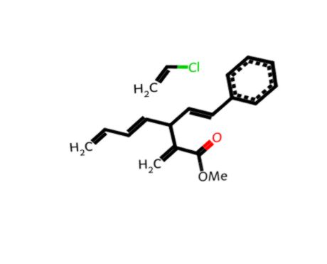 C=CC=CC(C=Cc1ccccc1)C(=C)C(=O)OC.C=CCl